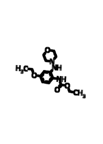 CCOC(=O)Nc1ccc(OCC)cc1NN1CCOCC1